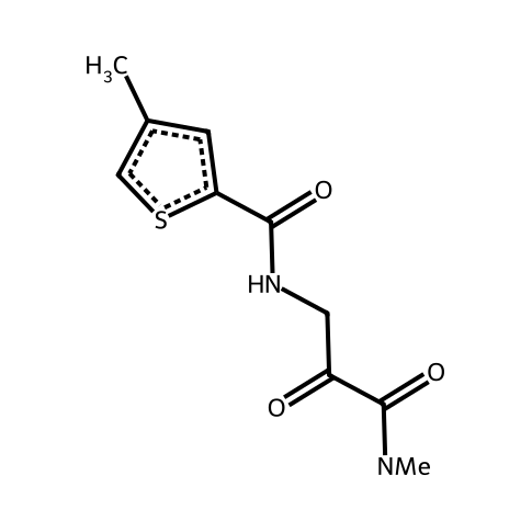 CNC(=O)C(=O)CNC(=O)c1cc(C)cs1